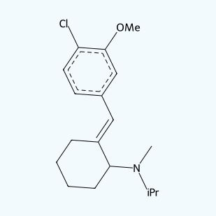 COc1cc(C=C2CCCCC2N(C)C(C)C)ccc1Cl